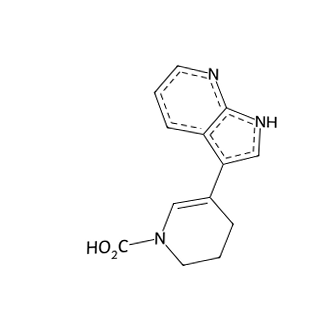 O=C(O)N1C=C(c2c[nH]c3ncccc23)CCC1